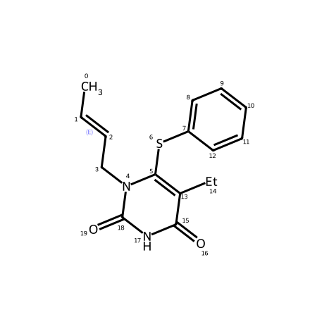 C/C=C/Cn1c(Sc2ccccc2)c(CC)c(=O)[nH]c1=O